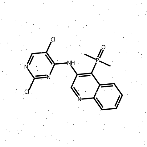 CP(C)(=O)c1c(Nc2nc(Cl)ncc2Cl)cnc2ccccc12